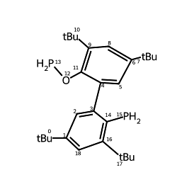 CC(C)(C)c1cc(-c2cc(C(C)(C)C)cc(C(C)(C)C)c2OP)c(P)c(C(C)(C)C)c1